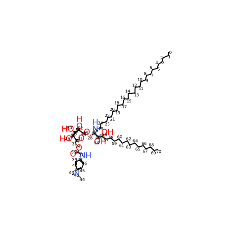 CCCCCCCCCCCCCCCCCCCCCCCCCCN[C@@H](CO[C@@H]1O[C@H](COC(=O)Nc2ccc(N(C)C)cc2)[C@H](O)[C@H](O)[C@H]1O)[C@H](O)[C@H](O)CCCCCCCCCCCCCC